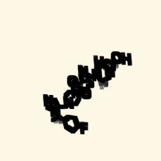 C[C@H](c1ccc(F)cc1)n1cncc1CN1CCN(S(=O)(=O)c2cnc(N3C[C@@H]4C[C@@H](O)CN4C[C@@H]3C)s2)CC1